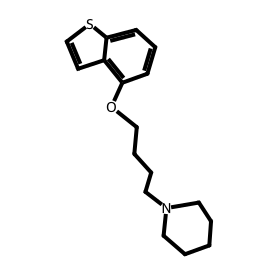 c1cc(OCCCCN2CCCCC2)c2ccsc2c1